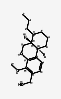 CCCN1CCC[C@H]2c3ccc(CO)c(OC)c3OC[C@@H]21